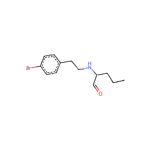 CCCC(C=O)NCCc1ccc(Br)cc1